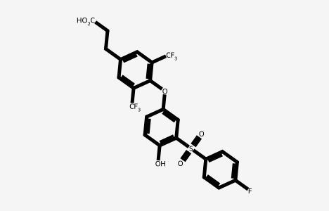 O=C(O)CCc1cc(C(F)(F)F)c(Oc2ccc(O)c(S(=O)(=O)c3ccc(F)cc3)c2)c(C(F)(F)F)c1